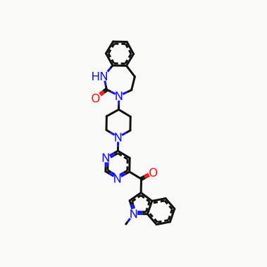 Cn1cc(C(=O)c2cc(N3CCC(N4CCc5ccccc5NC4=O)CC3)ncn2)c2ccccc21